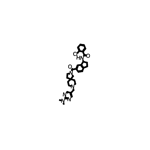 CN(C)c1ncc(CN2CCC3(CC2)CCN(C(=O)c2ccc4c(c2)C(NC(=O)c2ccccc2Cl)CC4)C3)cn1